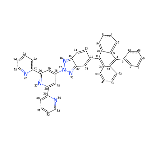 c1ccc(-c2c3ccccc3c(-c3ccc4nn(-c5cc(-c6ccccn6)nc(-c6ccccn6)c5)nc4c3)c3ccccc23)cc1